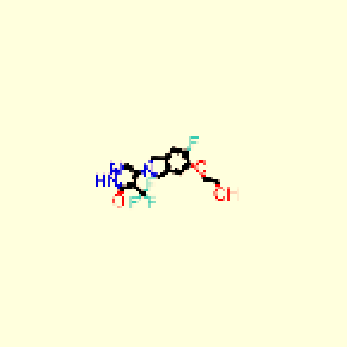 O=c1[nH]ncc(N2Cc3cc(F)c(OCCO)cc3C2)c1C(F)(F)F